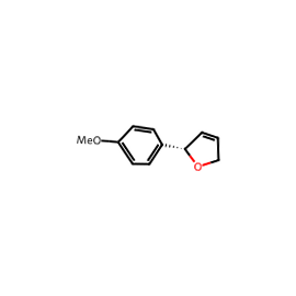 COc1ccc([C@@H]2C=CCO2)cc1